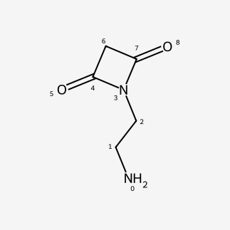 NCCN1C(=O)CC1=O